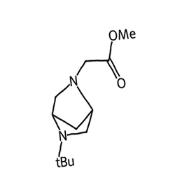 COC(=O)CN1CC2CC1CN2C(C)(C)C